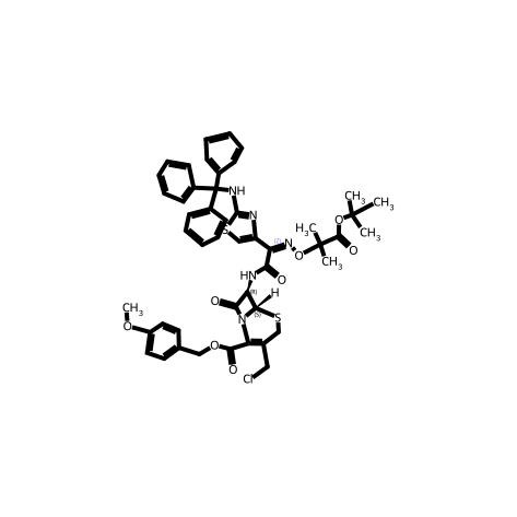 COc1ccc(COC(=O)C2=C(CCl)CS[C@H]3[C@H](NC(=O)/C(=N\OC(C)(C)C(=O)OC(C)(C)C)c4csc(NC(c5ccccc5)(c5ccccc5)c5ccccc5)n4)C(=O)N23)cc1